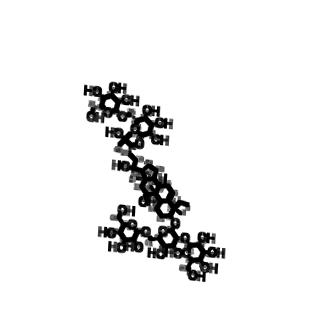 CC[C@@]1(C)C2=CC[C@@H]3[C@@](C)(C(=O)C[C@]4(C)[C@@H]([C@@](C)(O)CC[C@@H](O[C@@H]5O[C@H](CO[C@@H]6O[C@H](CO)[C@@H](O)[C@H](O)[C@H]6O)[C@@H](O)[C@H](O)[C@H]5O)C(C)(C)O)CC[C@@]34C)[C@@H]2CC[C@@H]1O[C@@H]1O[C@H](CO[C@@H]2O[C@H](CO)[C@@H](O)[C@H](O)[C@H]2O)[C@@H](O)[C@H](O)[C@H]1O[C@@H]1O[C@H](CO)[C@@H](O)[C@H](O)[C@H]1O